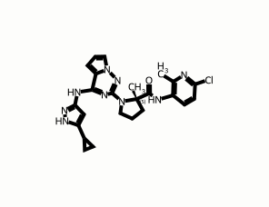 Cc1nc(Cl)ccc1NC(=O)[C@]1(C)CCCN1c1nc(Nc2cc(C3CC3)[nH]n2)c2cccn2n1